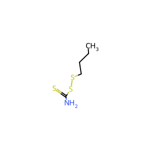 CCCCSSC(N)=S